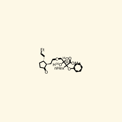 CC/C=C/[C@H]1CCC(=O)[C@@H]1CC=C=CC([16OH])([16OH])C(CCCCCC)(Oc1ccccc1)C(=O)OC